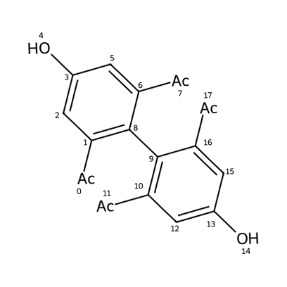 CC(=O)c1cc(O)cc(C(C)=O)c1-c1c(C(C)=O)cc(O)cc1C(C)=O